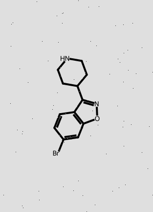 Brc1ccc2c(C3CCNCC3)noc2c1